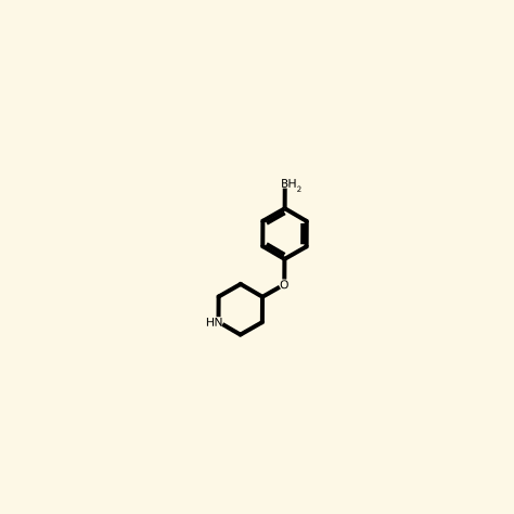 Bc1ccc(OC2CCNCC2)cc1